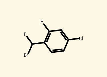 Fc1cc(Cl)ccc1C(F)Br